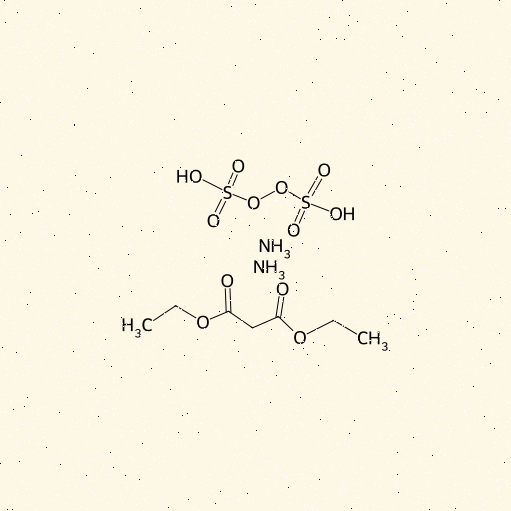 CCOC(=O)CC(=O)OCC.N.N.O=S(=O)(O)OOS(=O)(=O)O